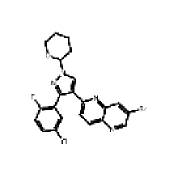 Fc1ccc(Cl)cc1-c1nn(C2CCCCO2)cc1-c1ccc2ncc(Br)cc2n1